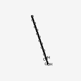 COCCOCCOCCOCCOCCOCCOCCOCCOCCOCCOCCOCCNC(=O)CCCC(=O)O